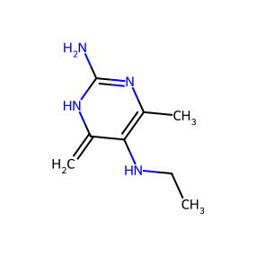 C=C1NC(N)=NC(C)=C1NCC